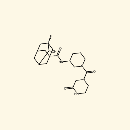 O=C1CN(C(=O)N2CCC[C@H](NC(=O)[C@@]34CC5CC(C3)C(O)[C@H](C5)C4)C2)CCN1